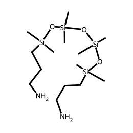 C[Si](C)(CCCN)O[Si](C)(C)O[Si](C)(C)O[Si](C)(C)CCCN